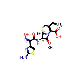 C=CC1=C(C(=O)O)N2C(=O)[C@@H](NC(=O)/C(=N\O)c3csc(N)n3)[C@H]2SC1.[KH]